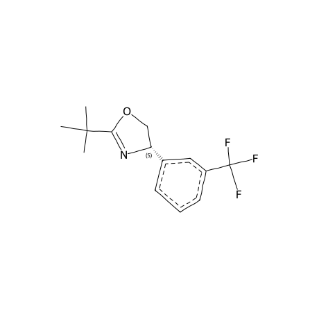 CC(C)(C)C1=N[C@@H](c2cccc(C(F)(F)F)c2)CO1